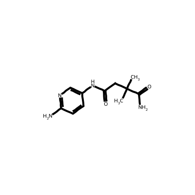 CC(C)([CH]C(=O)Nc1ccc(N)nc1)C(N)=O